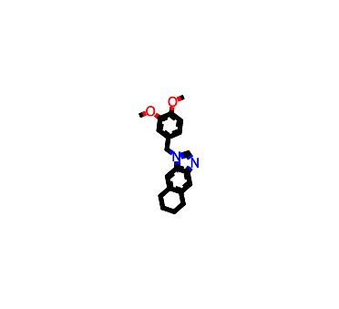 COc1ccc(Cn2cnc3cc4c(cc32)CCCC4)cc1OC